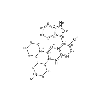 CN1CCC(N(Nc2ncc(Cl)c(-c3c[nH]c4ccccc34)n2)C(=O)N2CCCCC2)CC1